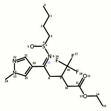 CCCC[S+]([O-])/N=C(/CC(CC(=O)OCC)C(F)(F)F)c1cnn(C)c1